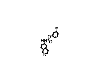 O=C(Nc1ccc2cnccc2c1)Oc1cccc(F)c1